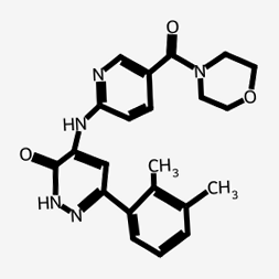 Cc1cccc(-c2cc(Nc3ccc(C(=O)N4CCOCC4)cn3)c(=O)[nH]n2)c1C